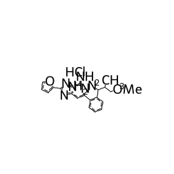 COCC(C)C(N)c1ccccc1-c1cc2nc(-c3ccco3)nn2c(N)n1.Cl